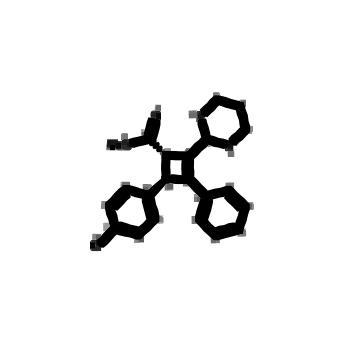 COC(=O)[C@@H]1C(C2SCCCS2)=C(c2ccccc2)[C@H]1c1ccc(Cl)cc1